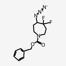 [N-]=[N+]=NC1CCN(C(=O)OCc2ccccc2)CCC1(F)F